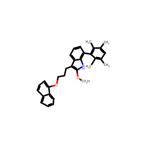 Cc1cc(C)c(C)c(-c2cccc3c(CCCOc4cccc5ccccc45)c(OC(=O)O)[nH]c23)c1C